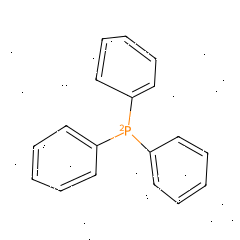 c1ccc([2P](c2ccccc2)c2ccccc2)cc1